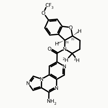 [2H]C1([2H])CC[C@@H]2Oc3cc(OC(F)(F)F)ccc3[C@@H]2N1C(=O)c1cc2c(cn1)nc(N)c1cncn12